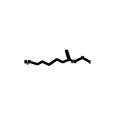 NCCCCCC(=O)NOI